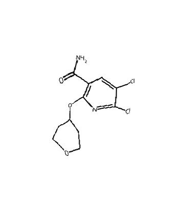 NC(=O)c1cc(Cl)c(Cl)nc1OC1CCOCC1